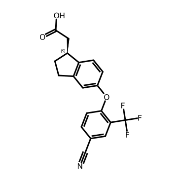 N#Cc1ccc(Oc2ccc3c(c2)CC[C@H]3CC(=O)O)c(C(F)(F)F)c1